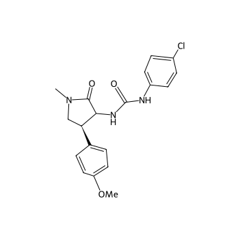 COc1ccc([C@H]2CN(C)C(=O)C2NC(=O)Nc2ccc(Cl)cc2)cc1